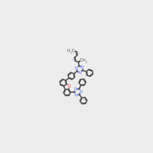 C=C(/C=C\C=C/C)c1nc(-c2ccccc2)nc(-c2ccc(-c3cccc4c3oc3c(-c5nc(-c6ccccc6)nc(-c6ccccc6)n5)cccc34)cc2)n1